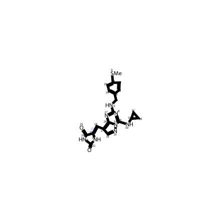 CSc1ccc(CNc2nc(NC3CC3)n3ncc(/C=C4\NC(=O)NC4=O)c3n2)cc1